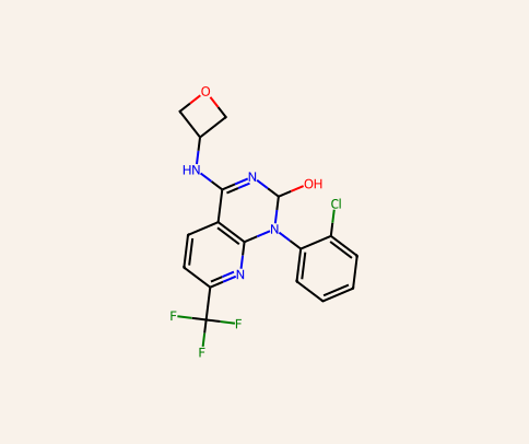 OC1N=C(NC2COC2)c2ccc(C(F)(F)F)nc2N1c1ccccc1Cl